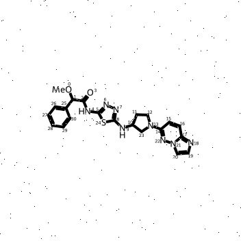 COC(C(=O)Nc1nnc(NC2CCN(c3ccc4nccn4n3)C2)s1)c1ccccc1